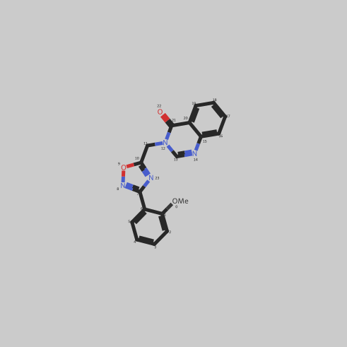 COc1ccccc1-c1noc(Cn2cnc3ccccc3c2=O)n1